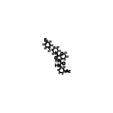 CC(=O)c1cccc(NC(=O)N[C@@H]2CCCO[C@@H]2C(=O)N2CCC[C@@H](Cc3ccc(F)cc3)C2)c1